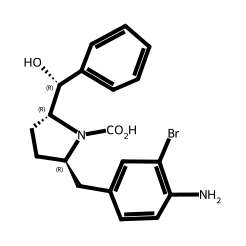 Nc1ccc(C[C@H]2CC[C@H]([C@H](O)c3ccccc3)N2C(=O)O)cc1Br